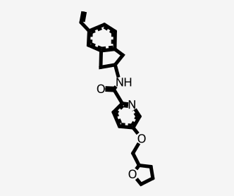 C=Cc1ccc2c(c1)CC(NC(=O)c1ccc(OCC3CCCO3)cn1)C2